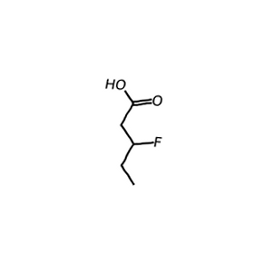 CCC(F)CC(=O)O